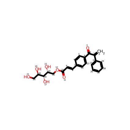 C=C(C(=O)c1ccc(C=CC(=O)OC[C@@H](O)[C@H](O)[C@H](O)CO)cc1)c1ccccc1